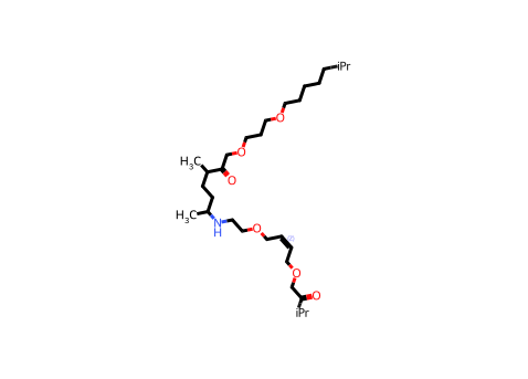 CC(C)CCCCCOCCCOCC(=O)C(C)CCC(C)NCCOC/C=C\COCC(=O)C(C)C